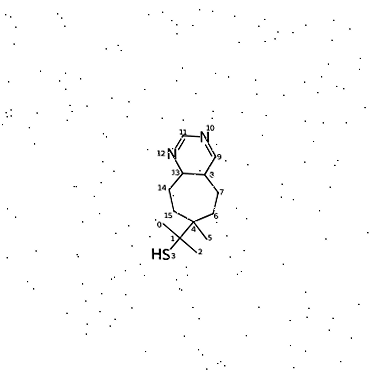 CC(C)(S)C1(C)CCC2C=NC=NC2CC1